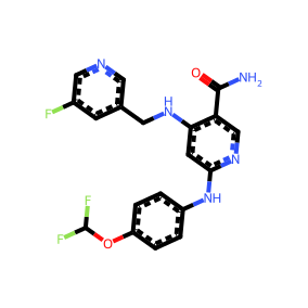 NC(=O)c1cnc(Nc2ccc(OC(F)F)cc2)cc1NCc1cncc(F)c1